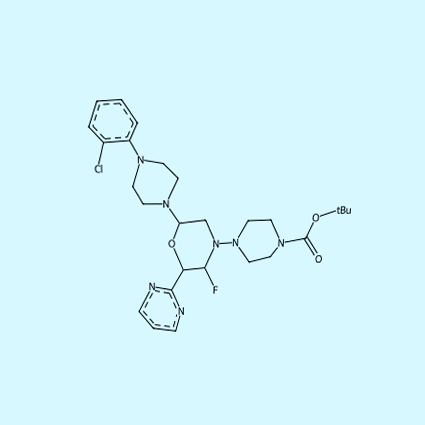 CC(C)(C)OC(=O)N1CCN(N2CC(N3CCN(c4ccccc4Cl)CC3)OC(c3ncccn3)C2F)CC1